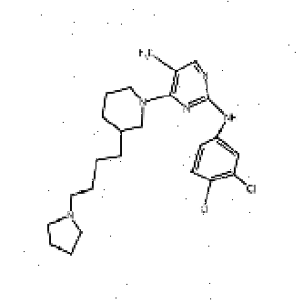 FC(F)(F)c1cnc(Nc2ccc(Cl)c(Cl)c2)nc1N1CCCC(CCCCN2CCCC2)C1